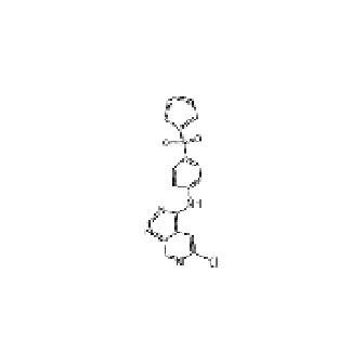 O=S(=O)(c1ccccc1)c1ccc(Nc2ncnc3cnc(Cl)cc23)cc1